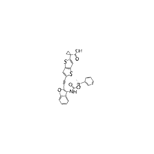 C[C@@H](OC(=O)Nc1c(C#Cc2cc3sc(C4(C(=O)O)CC4)cc3s2)oc2ccccc12)c1ccccc1